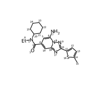 CCN(C(=O)c1cc(N)n2nc(-c3ccc(C)s3)nc2c1)C1CCCCC1